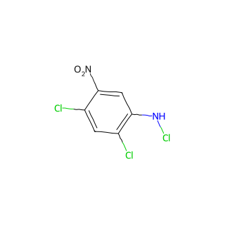 O=[N+]([O-])c1cc(NCl)c(Cl)cc1Cl